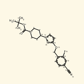 CC(C)(C)OC(=O)N1CCC(n2ccc(OCc3ccc(C#N)cc3F)n2)CC1